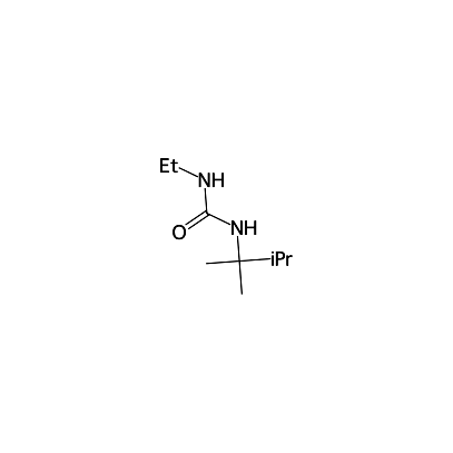 CCNC(=O)NC(C)(C)C(C)C